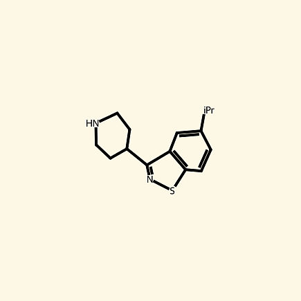 CC(C)c1ccc2snc(C3CCNCC3)c2c1